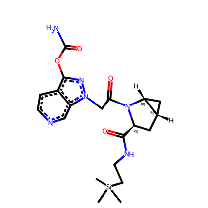 C[Si](C)(C)CCNC(=O)[C@@H]1C[C@H]2C[C@H]2N1C(=O)Cn1nc(OC(N)=O)c2ccncc21